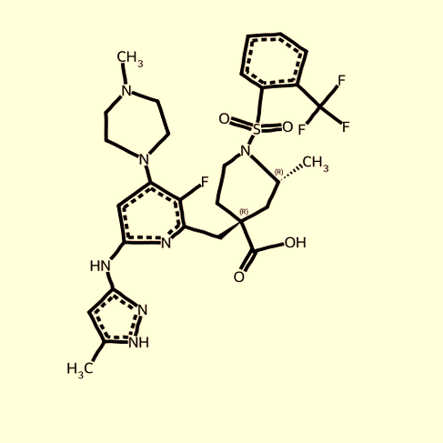 Cc1cc(Nc2cc(N3CCN(C)CC3)c(F)c(C[C@@]3(C(=O)O)CCN(S(=O)(=O)c4ccccc4C(F)(F)F)[C@H](C)C3)n2)n[nH]1